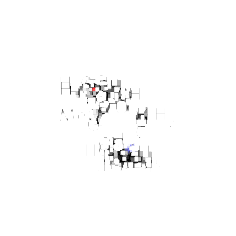 C=C1C(C)CC2CC[C@H]3OC(CCC/C=C/C(O[Si](C)(C)C(C)(C)C)C4O[C@H]5CCC(CC(=O)CC6C(CC1O2)OC(CC(CO[Si](C)(C)C(C)(C)C)O[Si](C)(C)C(C)(C)C)[C@@H]6OC)OC5[C@H](O)C4O[Si](C)(C)C(C)(C)C)CC3=C